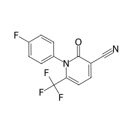 N#Cc1ccc(C(F)(F)F)n(-c2ccc(F)cc2)c1=O